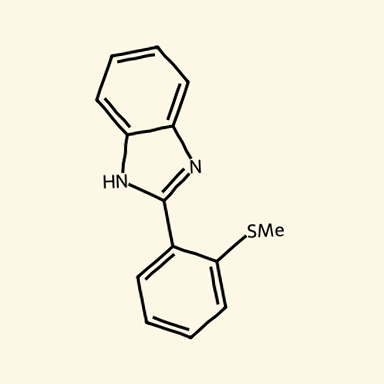 CSc1ccccc1-c1nc2ccccc2[nH]1